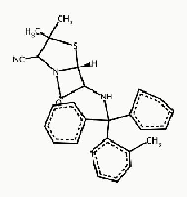 Cc1ccccc1C(NC1C(=O)N2C(C#N)C(C)(C)S[C@H]12)(c1ccccc1)c1ccccc1